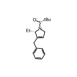 CC[C@H]1C(Cc2ccccc2)=CCN1[S@@+]([O-])C(C)(C)C